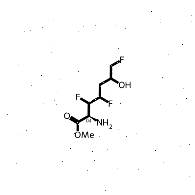 COC(=O)[C@H](N)C(F)C(F)CC(O)CF